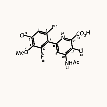 COc1c(Cl)cc(F)c(-c2cc(NC(C)=O)c(Cl)c(C(=O)O)n2)c1F